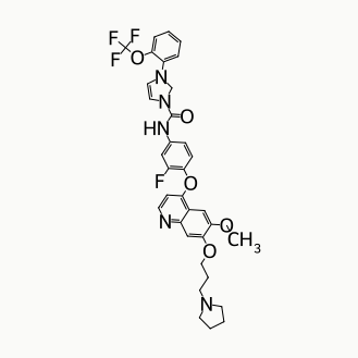 COc1cc2c(Oc3ccc(NC(=O)N4C=CN(c5ccccc5OC(F)(F)F)C4)cc3F)ccnc2cc1OCCCN1CCCC1